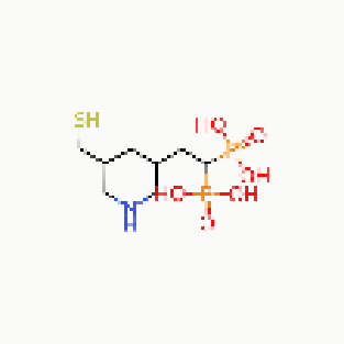 O=P(O)(O)C(CC1CNCC(CS)C1)P(=O)(O)O